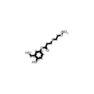 O=C(CCSCCO[N+](=O)[O-])Oc1ccc(O)c(CS)c1